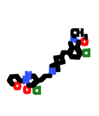 CN1Cc2c(CC3CC4(C3)CN(CCCc3cnn(C5CCCCO5)c(=O)c3Cl)C4)ccc(Cl)c2C1=O